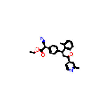 CCOC(=O)C(C#N)c1ccc(C(CC(=O)c2ccnc(C)c2)c2ccccc2C)cc1